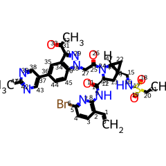 C=Cc1ccc(Br)nc1NC(=O)[C@@H]1C[C@@]2(CNS(=O)(=O)CC)C[C@H]2N1C(=O)Cn1nc(C(C)=O)c2cc(-c3cnc(C)nc3)ccc21